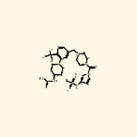 CC(O)NC1CCN(c2cc(CN3CCN(C(=O)n4ccc(NS(C)(=O)=O)n4)CC3)ccc2C(F)(F)F)CC1